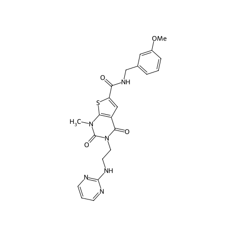 COc1cccc(CNC(=O)c2cc3c(=O)n(CCNc4ncccn4)c(=O)n(C)c3s2)c1